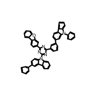 c1ccc(-c2ccc3c(c2)c2ccccc2n3-c2nc(-c3cccc(-c4ccc5c6ccccc6n(-c6ccccc6)c5c4)c3)nc(-c3ccc4c(c3)oc3ccccc34)n2)cc1